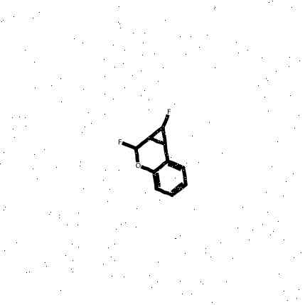 FC1Oc2ccccc2C2C(F)C12